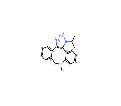 CC(C)N(N)/C1=C(\N)c2ccccc2CN(C)c2ccccc21